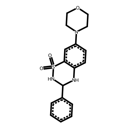 O=S1(=O)NC(c2ccccc2)Nc2ccc(N3CCOCC3)cc21